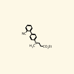 CCOC(=O)CCN(C)c1ccc(-c2ccccc2C#N)cc1